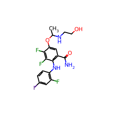 CC(NCCO)Oc1cc(C(N)=O)c(Nc2ccc(I)cc2F)c(F)c1F